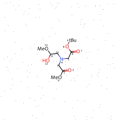 COC(=O)CN(CC(=O)OC(C)(C)C)CC(O)OC